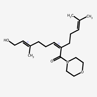 CC(C)=CCC/C(=C/CC/C(C)=C/CO)C(=O)N1CCOCC1